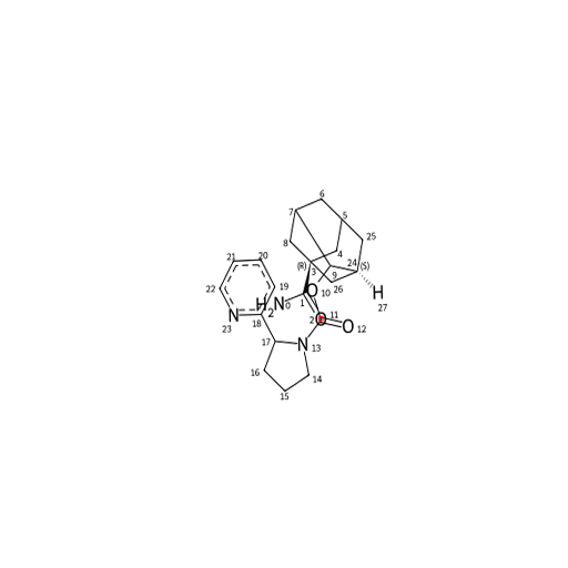 NC(=O)[C@]12CC3CC(C1)C(OC(=O)N1CCCC1c1ccccn1)[C@@H](C3)C2